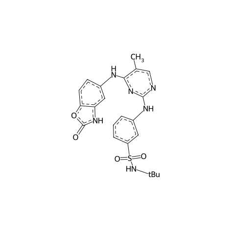 Cc1cnc(Nc2cccc(S(=O)(=O)NC(C)(C)C)c2)nc1Nc1ccc2oc(=O)[nH]c2c1